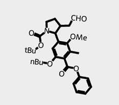 CCCCOc1cc(C2C(CC=O)CCN2C(=O)OC(C)(C)C)c(OC)c(C)c1C(=O)Oc1ccccc1